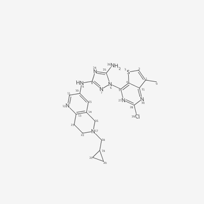 Cc1csc2c(-n3nc(Nc4cnc5c(c4)CN(CC4CC4)CC5)nc3N)nc(Cl)nc12